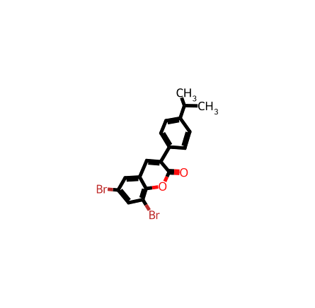 CC(C)c1ccc(-c2cc3cc(Br)cc(Br)c3oc2=O)cc1